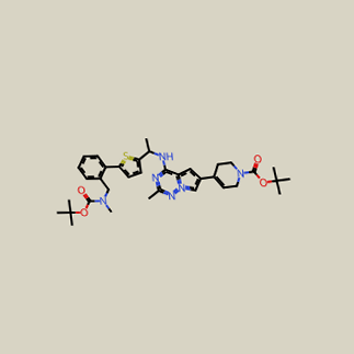 Cc1nc(NC(C)c2ccc(-c3ccccc3CN(C)C(=O)OC(C)(C)C)s2)c2cc(C3=CCN(C(=O)OC(C)(C)C)CC3)cn2n1